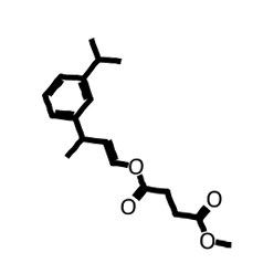 COC(=O)CCC(=O)OC=CC(C)c1cccc(C(C)C)c1